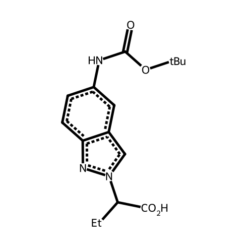 CCC(C(=O)O)n1cc2cc(NC(=O)OC(C)(C)C)ccc2n1